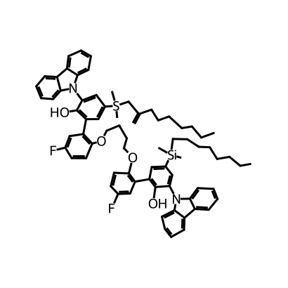 C=C(CCCCCCC)CS(C)(C)c1cc(-c2cc(F)ccc2OCCCCOc2ccc(F)cc2-c2cc([Si](C)(C)CCCCCCCC)cc(-n3c4ccccc4c4ccccc43)c2O)c(O)c(-n2c3ccccc3c3ccccc32)c1